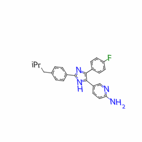 CC(C)Cc1ccc(-c2nc(-c3ccc(F)cc3)c(-c3ccc(N)nc3)[nH]2)cc1